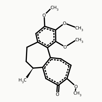 COc1cc2c(c(OC)c1OC)-c1ccc(OC)c(=O)cc1[C@@H](C)CC2